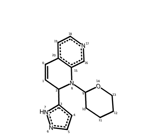 C1=CC(c2ccn[nH]2)N(C2CCCCO2)c2cnccc21